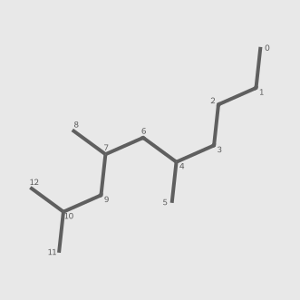 CCCCC(C)CC(C)CC(C)C